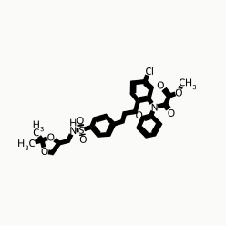 COC(=O)C(=O)N(c1ccccc1)c1cc(Cl)ccc1C(=O)CCc1ccc(S(=O)(=O)NCC2COC(C)(C)O2)cc1